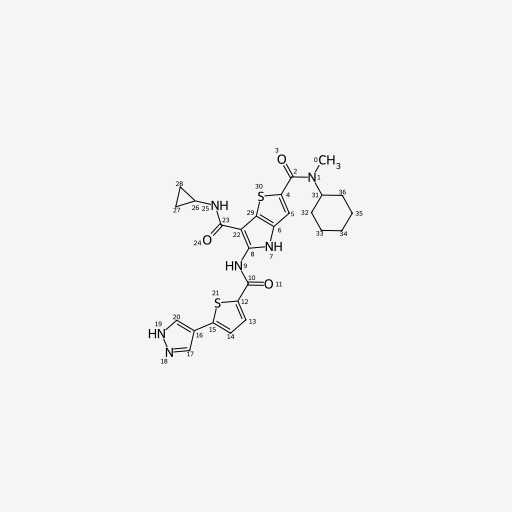 CN(C(=O)c1cc2[nH]c(NC(=O)c3ccc(-c4cn[nH]c4)s3)c(C(=O)NC3CC3)c2s1)C1CCCCC1